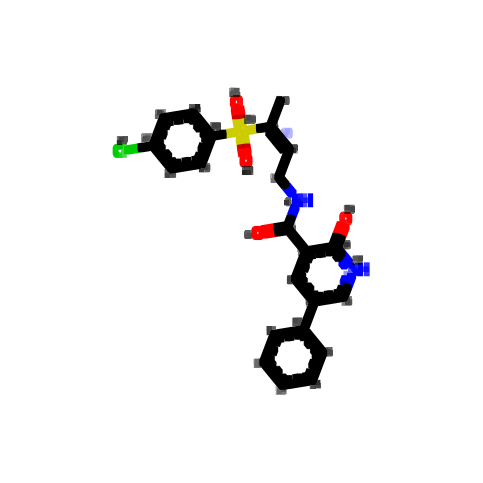 C/C(=C/CNC(=O)c1cc(-c2ccccc2)c[nH]c1=O)S(=O)(=O)c1ccc(Cl)cc1